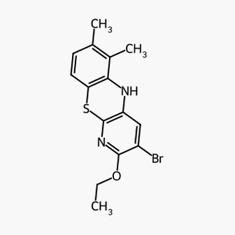 CCOc1nc2c(cc1Br)Nc1c(ccc(C)c1C)S2